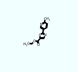 CCOC(=O)c1cnc(-c2ccc(C)nc2)s1